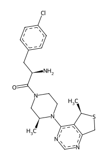 C[C@H]1SCc2ncnc(N3CCN(C(=O)[C@H](N)Cc4ccc(Cl)cc4)C[C@@H]3C)c21